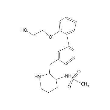 CS(=O)(=O)NC1CCCNC1Cc1cccc(-c2ccccc2OCCO)c1